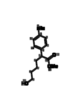 CCCCc1ccc(C(CCCCO)C(=O)OC)cc1